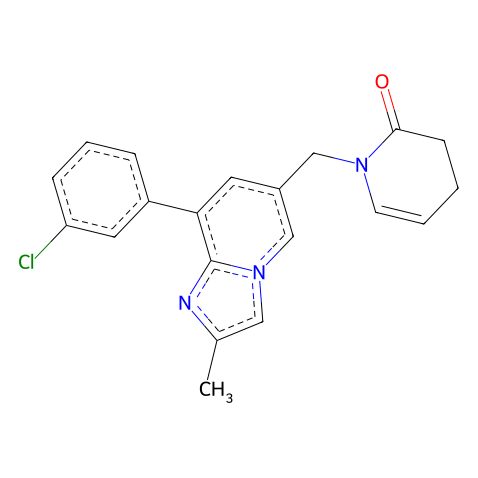 Cc1cn2cc(CN3C=CCCC3=O)cc(-c3cccc(Cl)c3)c2n1